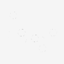 Cc1cc(N(Cc2ccccc2)Cc2ccccc2)c2c(c1C(=O)c1ccc(OCc3ccccc3)c(C(C)C)c1)CCC2